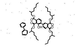 CCCCCC(C)COC(=O)c1ccc(-c2ccc(C(=O)OCC(C)CCCCC)c(C(=O)OCC(C)CCCCC)c2O)cc1C(=O)OCC(C)CCCCC.c1ccc(-c2ccccc2)cc1